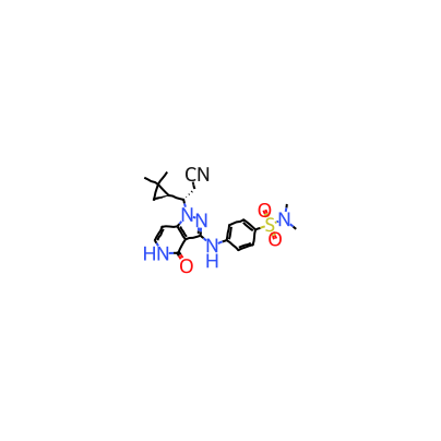 CN(C)S(=O)(=O)c1ccc(Nc2nn([C@@H](CC#N)[C@H]3CC3(C)C)c3cc[nH]c(=O)c23)cc1